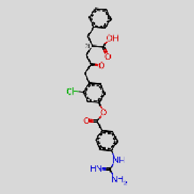 N=C(N)Nc1ccc(C(=O)Oc2ccc(CC(=O)C[C@@H](Cc3ccccc3)C(=O)O)c(Cl)c2)cc1